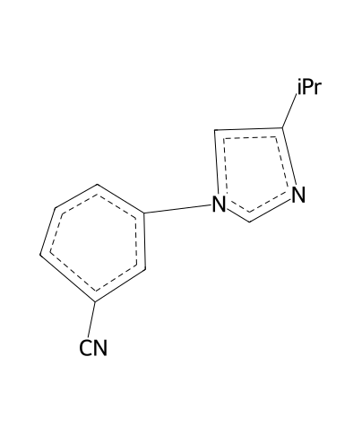 CC(C)c1cn(-c2cccc(C#N)c2)cn1